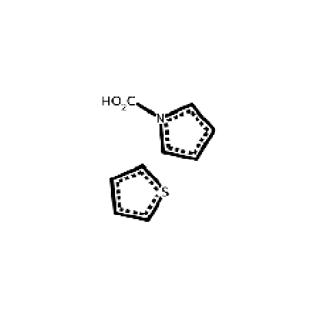 O=C(O)n1cccc1.c1ccsc1